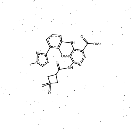 COC(=O)c1nnc(NC(=O)C2CS(=O)(=O)C2)cc1Nc1cccc(-c2ncn(C)n2)c1OC